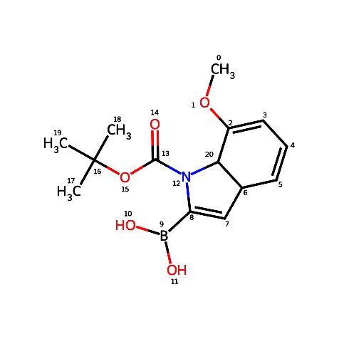 COC1=CC=CC2C=C(B(O)O)N(C(=O)OC(C)(C)C)C12